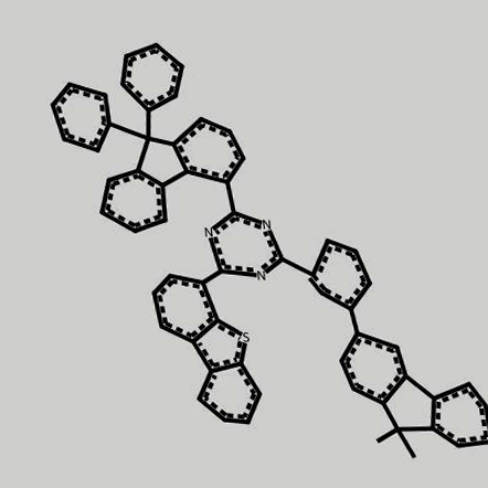 CC1(C)c2ccccc2-c2cc(-c3cccc(-c4nc(-c5cccc6c5-c5ccccc5C6(c5ccccc5)c5ccccc5)nc(-c5cccc6c5sc5ccccc56)n4)c3)ccc21